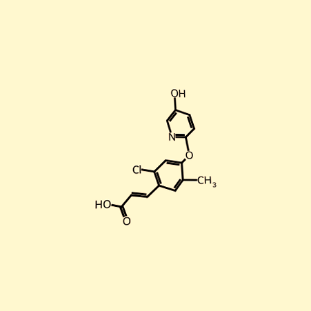 Cc1cc(C=CC(=O)O)c(Cl)cc1Oc1ccc(O)cn1